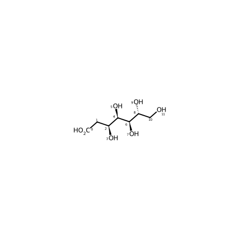 O=C(O)C[C@H](O)[C@@H](O)[C@H](O)[C@H](O)CO